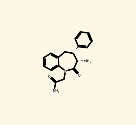 NC(=O)CN1C(=O)[C@@H](N)[C@@H](c2ccccc2)Cc2ccccc21